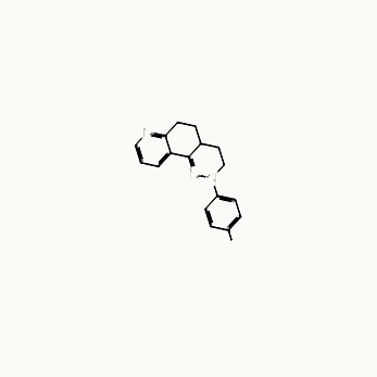 Clc1ccc(N2CCC3CCc4ncccc4C3=N2)cc1